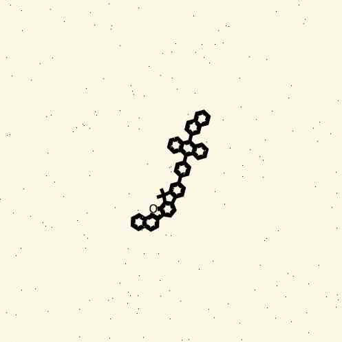 CC1(C)c2cc(-c3ccc(-c4c5ccccc5c(-c5ccc6ccccc6c5)c5ccccc45)cc3)ccc2-c2ccc3c(oc4c5ccccc5ccc34)c21